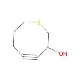 OC1C#CCCCSC1